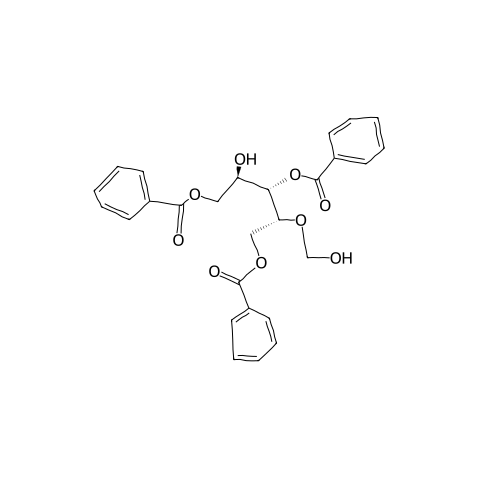 O=C(OC[C@@H](O)[C@H](OC(=O)c1ccccc1)[C@@H](COC(=O)c1ccccc1)OCO)c1ccccc1